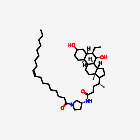 CCCCCCCC/C=C\CCCCCCCC(=O)N1CC[C@@H](NC(=O)CC[C@@H](C)C2CC[C@H]3[C@@H]4[C@H](O)[C@H](CC)[C@@H]5C[C@H](O)CC[C@]5(C)[C@H]4CC[C@]23C)C1